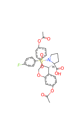 CC(=O)Oc1ccc(C2COc3cc(OC(C)=O)ccc3C2[C@@]2(C(=O)O)CCCN2S(=O)(=O)c2ccc(F)cc2)cc1